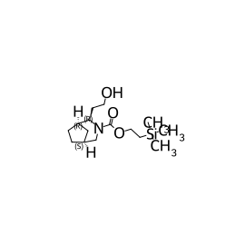 C[Si](C)(C)CCOC(=O)N1C[C@H]2CC[C@H](C2)[C@H]1CCO